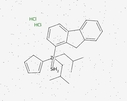 CC(C)[CH2][Zr](=[SiH2])([CH2]C(C)C)([C]1=CC=CC1)[c]1cccc2c1Cc1ccccc1-2.Cl.Cl